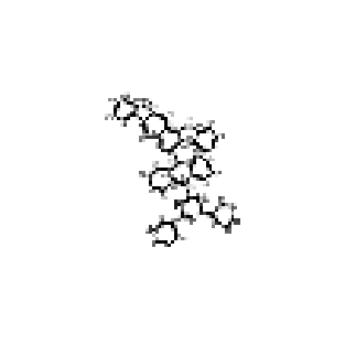 c1cncc(-c2nc(-c3cccnc3)nc(-c3c4ccccc4c(-c4nc5cc6c(cc5c5oc7ccccc7c45)oc4ccccc46)c4ccccc34)n2)c1